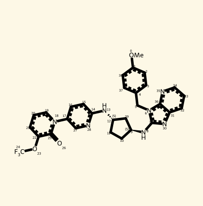 COc1ccc(Cn2c(N[C@H]3CC[C@H](Nc4ccc(-n5cccc(OC(F)(F)F)c5=O)cn4)C3)nc3cccnc32)cc1